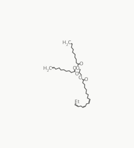 C=CCCCCCCCC(=O)OCC(COC(=O)CCCCCCC/C=C\C/C=C\C/C=C\CC)OC(=O)CCCCCCCC=C